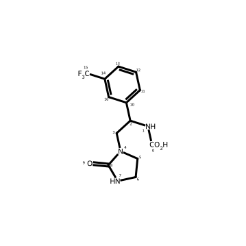 O=C(O)NC(CN1CCNC1=O)c1cccc(C(F)(F)F)c1